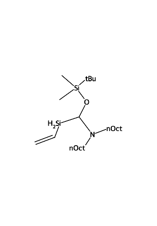 C=C[SiH2]C(O[Si](C)(C)C(C)(C)C)N(CCCCCCCC)CCCCCCCC